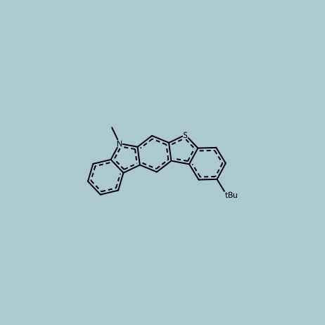 Cn1c2ccccc2c2cc3c(cc21)sc1ccc(C(C)(C)C)cc13